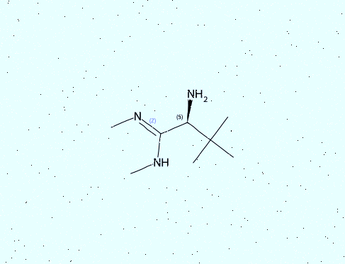 C/N=C(\NC)[C@@H](N)C(C)(C)C